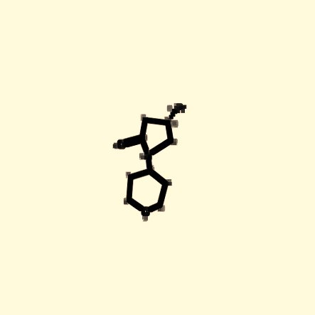 CC(C)[C@H]1CC(=O)N(C2CCOCC2)C1